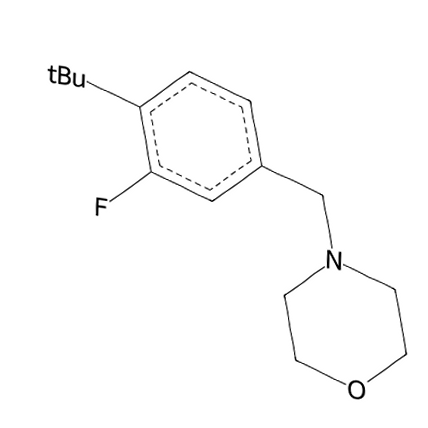 CC(C)(C)c1ccc(CN2CCOCC2)cc1F